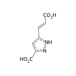 O=C(O)C=Cc1cc(C(=O)O)n[nH]1